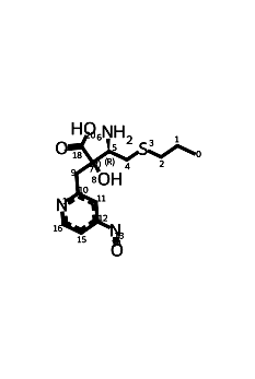 CCCSC[C@H](N)[C@](O)(Cc1cc(N=O)ccn1)C(=O)O